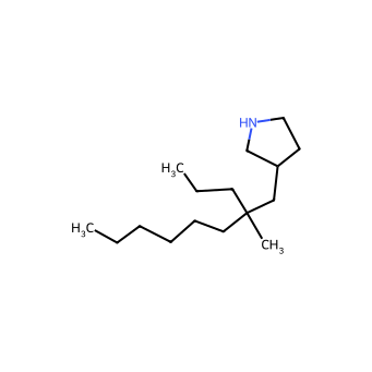 CCCCCCC(C)(CCC)CC1CCNC1